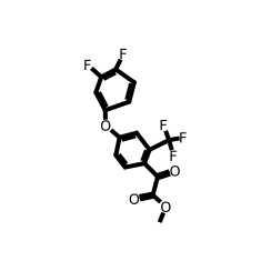 COC(=O)C(=O)c1ccc(Oc2ccc(F)c(F)c2)cc1C(F)(F)F